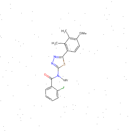 CCCN(C(=O)c1ccccc1F)c1nnc(-c2ccc(OC)c(C)c2C)s1